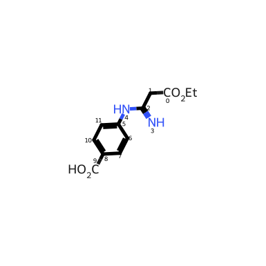 CCOC(=O)CC(=N)Nc1ccc(C(=O)O)cc1